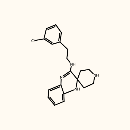 Clc1cccc(CCNC2=Nc3ccccc3NC23CCNCC3)c1